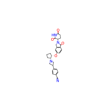 N#Cc1ccc(C2CN([C@@H]3CCC[C@@H]3Oc3ccc4c(c3)CN(C3CCC(=O)NC3=O)C4=O)C2)cc1